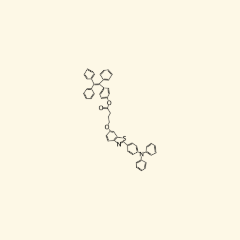 O=C(CCCOc1ccc2nc(-c3ccc(N(c4ccccc4)c4ccccc4)cc3)sc2c1)Oc1ccc(C(=C(c2ccccc2)c2ccccc2)c2ccccc2)cc1